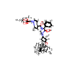 CC(C)(C)OC(=O)N1CCC(C(=O)N2CCN(c3ccc(O[Si](C)(C)C(C)(C)C)cc3)C(=O)C2c2ccccc2)CC1